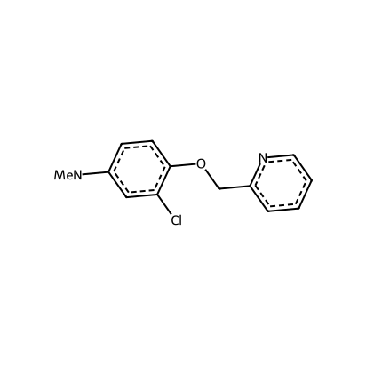 CNc1ccc(OCc2ccccn2)c(Cl)c1